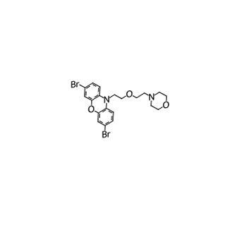 Brc1ccc2c(c1)Oc1cc(Br)ccc1N2CCOCCN1CCOCC1